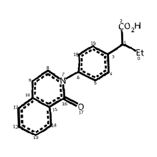 CCC(C(=O)O)c1ccc(-n2ccc3ccccc3c2=O)cc1